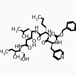 CCCC[C@H](NC(=O)[C@H](Cc1ccncc1)NC(=O)OCc1ccccc1)C(=O)N[C@@H](CC(C)C)[C@@H](O)CC(=O)N[C@H](CO)[C@@H](C)CC